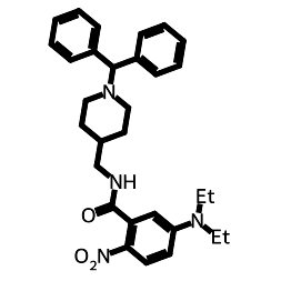 CCN(CC)c1ccc([N+](=O)[O-])c(C(=O)NCC2CCN(C(c3ccccc3)c3ccccc3)CC2)c1